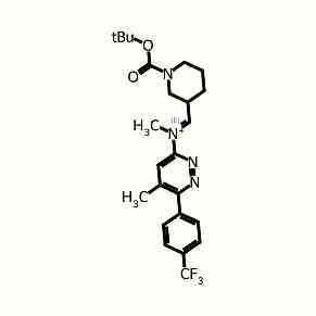 Cc1cc(/[N+](C)=C/C2CCCN(C(=O)OC(C)(C)C)C2)nnc1-c1ccc(C(F)(F)F)cc1